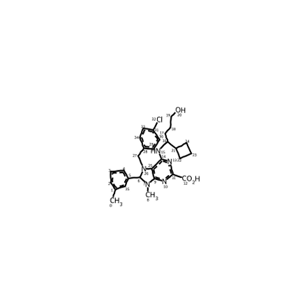 Cc1cccc(C2N(C)c3nc(C(=O)O)nc(NC(CCCO)C4CCC4)c3N2Cc2ccc(Cl)cc2)c1